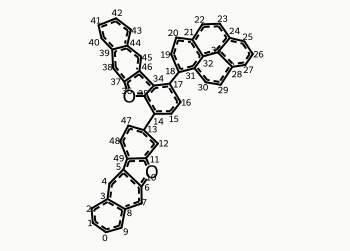 c1ccc2cc3c(cc2c1)oc1cc(-c2ccc(-c4ccc5ccc6cccc7ccc4c5c67)c4c2oc2cc5ccccc5cc24)ccc13